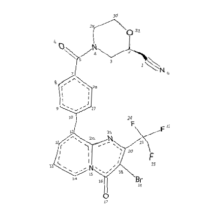 N#C[C@H]1CN(C(=O)c2ccc(-c3cccn4c(=O)c(Br)c(C(F)(F)F)nc34)cc2)CCO1